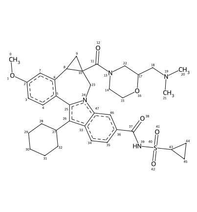 COc1ccc2c(c1)C1CC1(C(=O)N1CCOC(CN(C)C)C1)Cn1c-2c(C2CCCCC2)c2ccc(C(=O)NS(=O)(=O)C3CC3)cc21